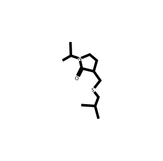 CC(C)CSCC1CCN(C(C)C)C1=O